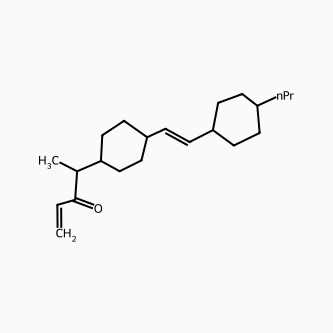 C=CC(=O)C(C)C1CCC(C=CC2CCC(CCC)CC2)CC1